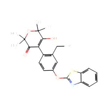 CCc1cc(Oc2nc3ccccc3s2)ccc1C1=C(O)C(C)(C)OC(C)(C)C1=O